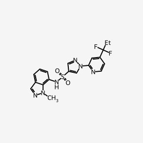 CCC(F)(F)c1ccnc(-n2cc(S(=O)(=O)Nc3cccc4cnn(C)c34)cn2)c1